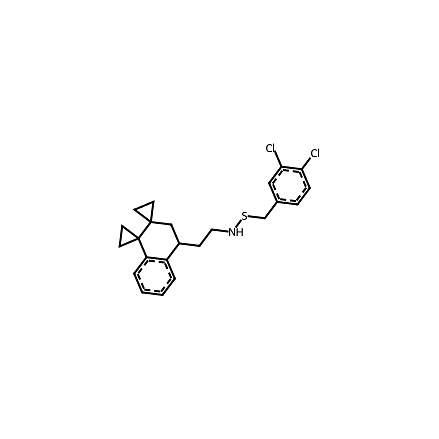 Clc1ccc(CSNCCC2CC3(CC3)C3(CC3)c3ccccc32)cc1Cl